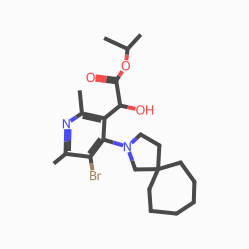 Cc1nc(C)c(C(O)C(=O)OC(C)C)c(N2CCC3(CCCCCC3)C2)c1Br